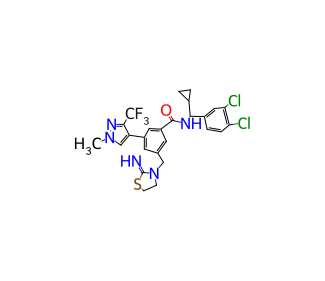 Cn1cc(-c2cc(CN3CCSC3=N)cc(C(=O)NC(c3ccc(Cl)c(Cl)c3)C3CC3)c2)c(C(F)(F)F)n1